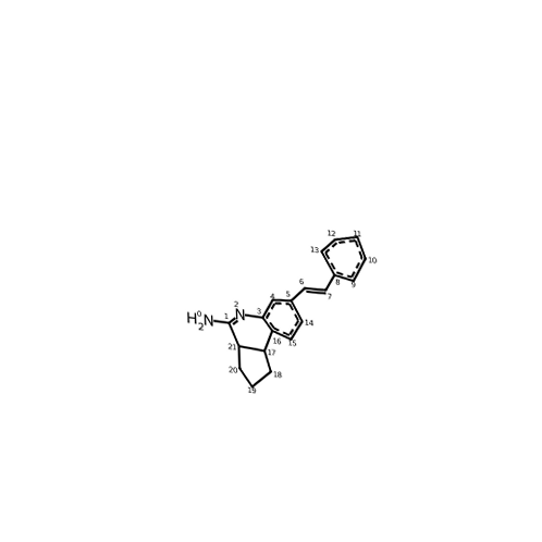 NC1=Nc2cc(C=Cc3ccccc3)ccc2C2CCCC12